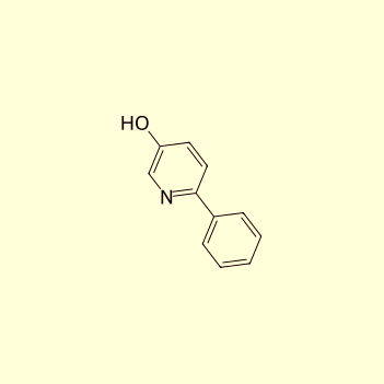 Oc1ccc(-c2ccccc2)nc1